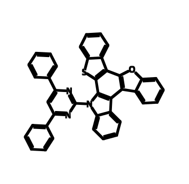 c1ccc(-c2cc(-c3ccccc3)nc(-n3c4ccccc4c4c5c6ccccc6oc5c5c6ccccc6sc5c43)n2)cc1